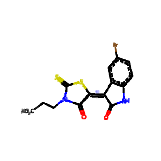 O=C(O)CCN1C(=O)/C(=C2\C(=O)Nc3ccc(Br)cc32)SC1=S